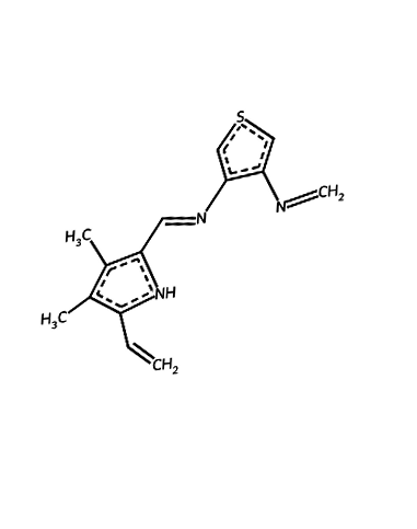 C=Cc1[nH]c(C=Nc2cscc2N=C)c(C)c1C